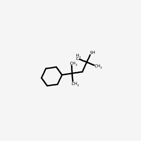 CC(C)(S)CC(C)(C)C1CCCCC1